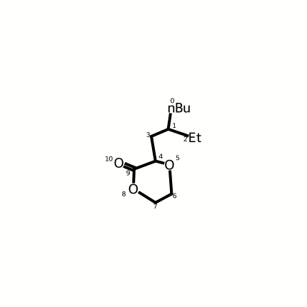 CCCCC(CC)CC1OCCOC1=O